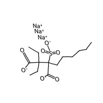 CCCCCCC(C(=O)[O-])(C(CC)(CC)C(=O)[O-])S(=O)(=O)[O-].[Na+].[Na+].[Na+]